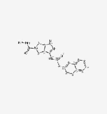 CCNC(=O)N1Cc2[nH]nc(NC(=O)Cc3ccc4ccccc4c3)c2C1